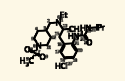 CCN(CC1CCN(S(C)(=O)=O)CC1)C(C)Cc1ccccc1NC(=O)NC(C)C.Cl